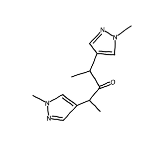 CC(C(=O)C(C)c1cnn(C)c1)c1cnn(C)c1